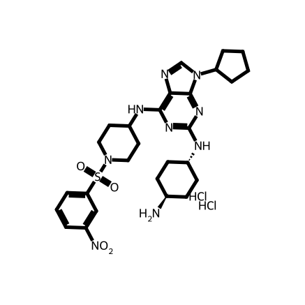 Cl.Cl.N[C@H]1CC[C@H](Nc2nc(NC3CCN(S(=O)(=O)c4cccc([N+](=O)[O-])c4)CC3)c3ncn(C4CCCC4)c3n2)CC1